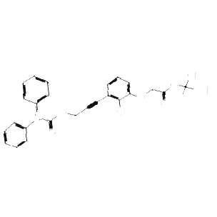 Cc1c(C#CCOC(=O)N(c2ccccc2)c2ccccc2)cccc1OCC(=O)OC(C)(C)C